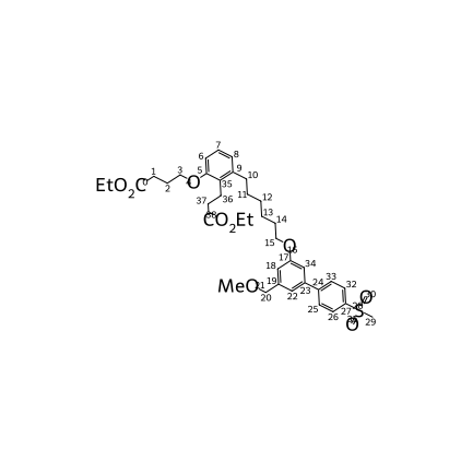 CCOC(=O)CCCOc1cccc(CCCCCCOc2cc(COC)cc(-c3ccc(S(C)(=O)=O)cc3)c2)c1CCC(=O)OCC